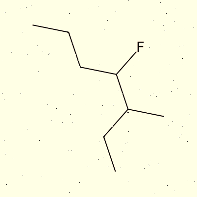 CCCC(F)[C](C)CC